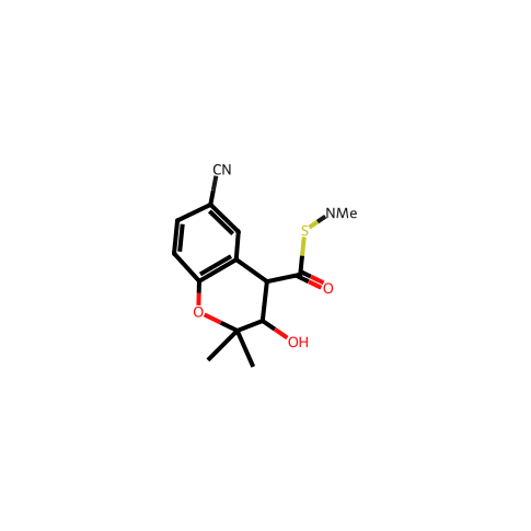 CNSC(=O)C1c2cc(C#N)ccc2OC(C)(C)C1O